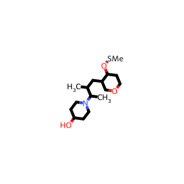 CSOC1CCOCC1CC(C)C(C)N1CCC(O)CC1